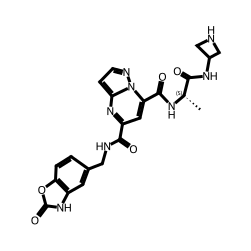 C[C@H](NC(=O)c1cc(C(=O)NCc2ccc3oc(=O)[nH]c3c2)nc2ccnn12)C(=O)NC1CNC1